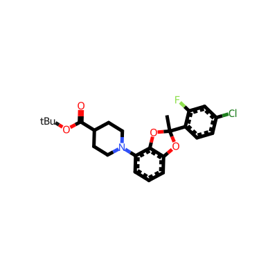 CC(C)(C)OC(=O)C1CCN(c2cccc3c2OC(C)(c2ccc(Cl)cc2F)O3)CC1